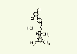 Cc1cc(C)nc(-n2ncc(/C=C/CN3CCN(c4cc(Cl)ccc4Cl)CC3)c2C)n1.Cl